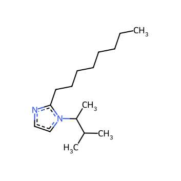 CCCCCCCCc1nccn1C(C)C(C)C